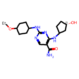 CCOC1CCC(Nc2ncc(C(N)=O)c(NC3CC[C@H](O)C3)n2)CC1